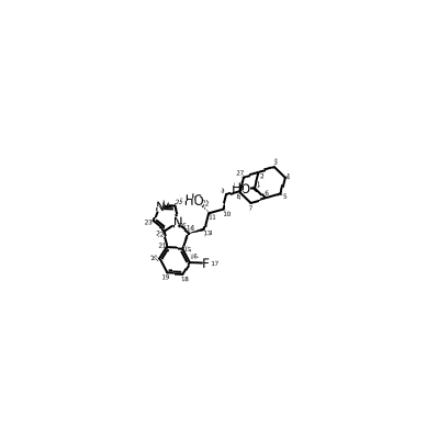 OC1C2CCCC1CC(CC[C@@H](O)C[C@H]1c3c(F)cccc3-c3cncn31)C2